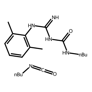 CCCCN=C=O.CCCCNC(=O)NC(=N)Nc1c(C)cccc1C